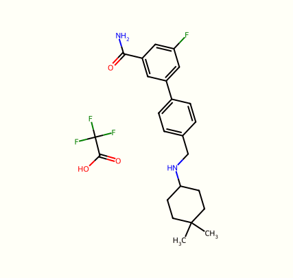 CC1(C)CCC(NCc2ccc(-c3cc(F)cc(C(N)=O)c3)cc2)CC1.O=C(O)C(F)(F)F